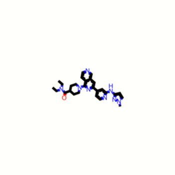 CCN(CC)C(=O)C1CCN(c2nc(-c3ccnc(Nc4ccn(C)n4)c3)cc3cnccc23)CC1